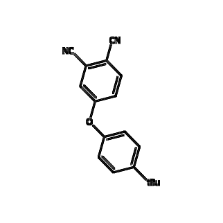 CC(C)(C)c1ccc(Oc2ccc(C#N)c(C#N)c2)cc1